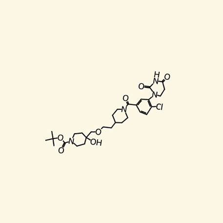 CC(C)(C)OC(=O)N1CCC(O)(COCCC2CCN(C(=O)c3ccc(Cl)c(N4CCC(=O)NC4=O)c3)CC2)CC1